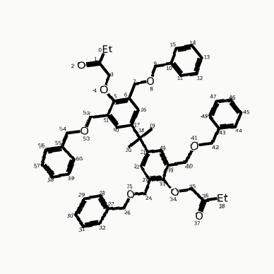 CCC(=O)COc1c(COCc2ccccc2)cc(C(C)(C)c2cc(COCc3ccccc3)c(OCC(=O)CC)c(COCc3ccccc3)c2)cc1COCc1ccccc1